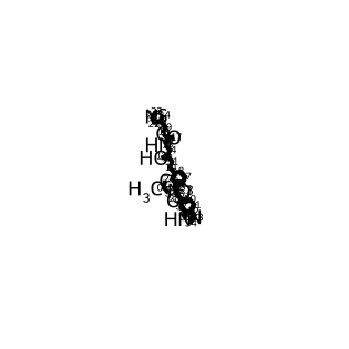 CC(C)CN(c1cccc(CCC(O)CNC(=O)OCc2cncs2)c1)S(=O)(=O)c1ccc2nc[nH]c2c1